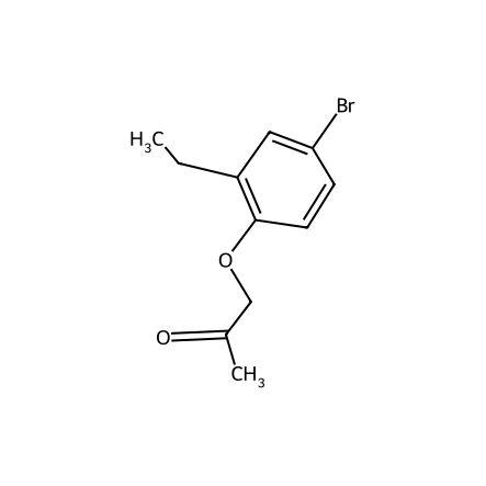 CCc1cc(Br)ccc1OCC(C)=O